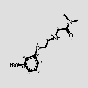 CN(C)C(=O)CNCCOc1cccc(C(C)(C)C)c1